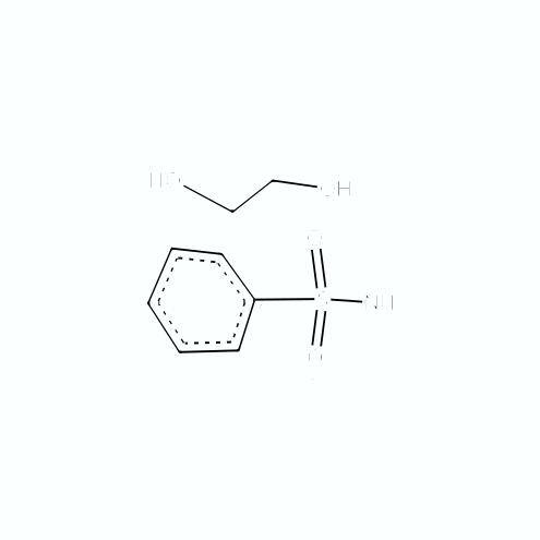 NS(=O)(=O)c1ccccc1.OCCO